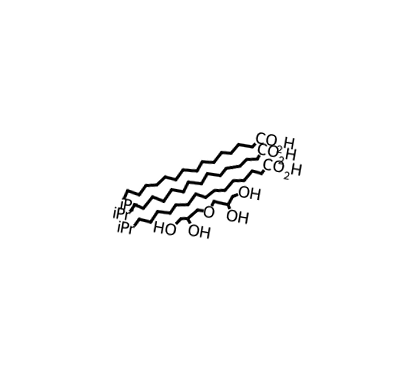 CC(C)CCCCCCCCCCCCCCC(=O)O.CC(C)CCCCCCCCCCCCCCC(=O)O.CC(C)CCCCCCCCCCCCCCC(=O)O.OCC(O)COCC(O)CO